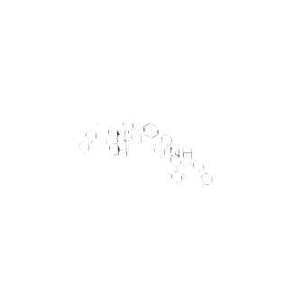 CO[C@H]1C[C@H](OC)[C@@H](ONC(=O)Oc2cccc(OC(=O)NO[C@H]3[C@H](C)O[C@H](OC)C[C@@H]3OC)c2)[C@H](C)O1